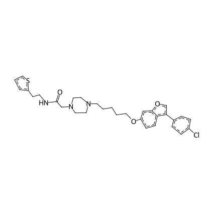 O=C(CN1CCN(CCCCCOc2ccc3c(-c4ccc(Cl)cc4)coc3c2)CC1)NCCc1cccs1